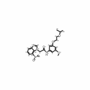 COc1cc(NC(=O)Cn2cnc3cccc([N+](=O)[O-])c32)cc(OCCOC(C)C)c1